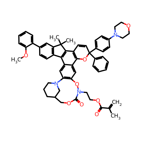 C=C(C)C(=O)OCCN1Oc2cc3c4c(c5c(c3cc2N2CCCC(COC1=O)C2)-c1ccc(-c2ccccc2OC)cc1C5(C)C)C=CC(c1ccccc1)(c1ccc(N2CCOCC2)cc1)O4